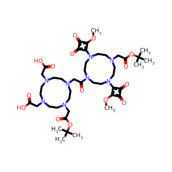 COc1c(N2CCN(CC(=O)OC(C)(C)C)CCN(c3c(OC)c(=O)c3=O)CCN(C(=O)CN3CCN(CC(=O)O)CCN(CC(=O)O)CCN(CC(=O)OC(C)(C)C)CC3)CC2)c(=O)c1=O